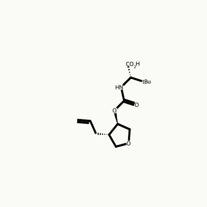 C=CC[C@H]1COC[C@@H]1OC(=O)N[C@H](C(=O)O)C(C)(C)C